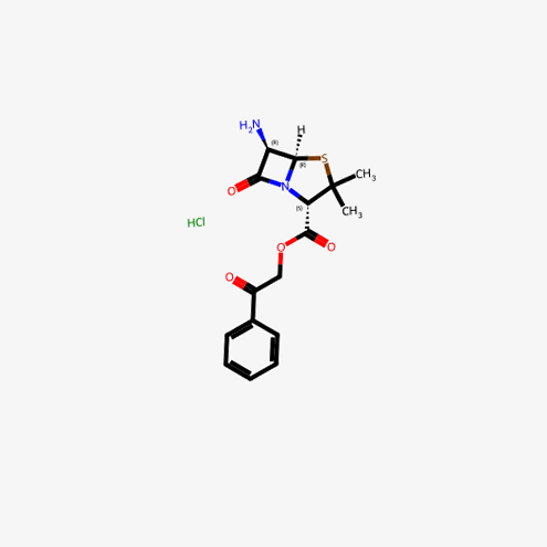 CC1(C)S[C@@H]2[C@H](N)C(=O)N2[C@H]1C(=O)OCC(=O)c1ccccc1.Cl